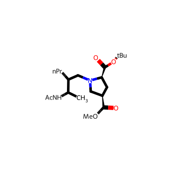 CCCC(CN1C[C@H](C(=O)OC)C[C@@H]1C(=O)OC(C)(C)C)C(C)NC(C)=O